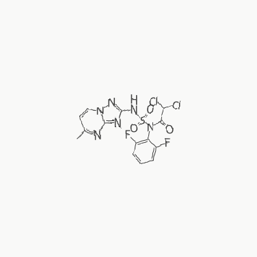 Cc1ccn2nc(NS(=O)(=O)N(C(=O)C(Cl)Cl)c3c(F)cccc3F)nc2n1